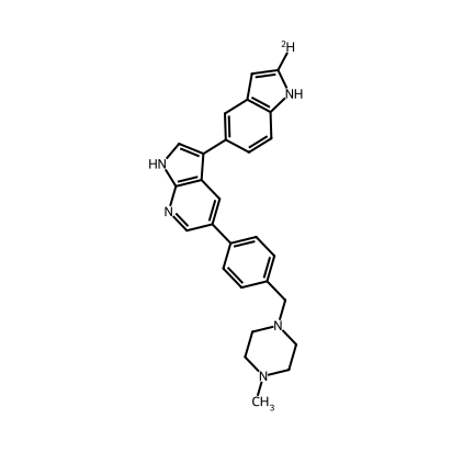 [2H]c1cc2cc(-c3c[nH]c4ncc(-c5ccc(CN6CCN(C)CC6)cc5)cc34)ccc2[nH]1